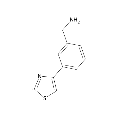 NCc1cccc(-c2cs[c]n2)c1